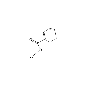 CCOC(=O)C1=CC=CCC1